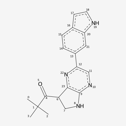 CC(C)(C)C(=O)C1CNc2ncc(-c3ccc4cc[nH]c4c3)nc21